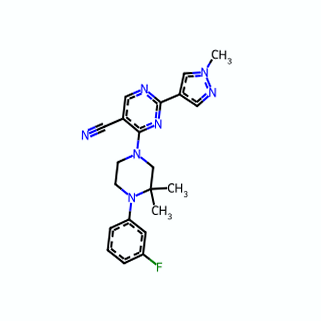 Cn1cc(-c2ncc(C#N)c(N3CCN(c4cccc(F)c4)C(C)(C)C3)n2)cn1